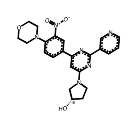 O=[N+]([O-])c1cc(-c2cc(N3CC[C@H](O)C3)nc(-c3cccnc3)n2)ccc1N1CCOCC1